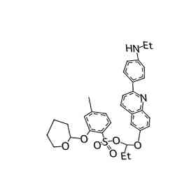 CCNc1ccc(-c2ccc3cc(OC(CC)OS(=O)(=O)c4ccc(C)cc4OC4CCCCO4)ccc3n2)cc1